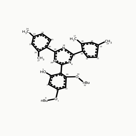 CCCCOc1cc(O)c(-c2nc(-c3ccc(C)cc3C)nc(-c3ccc(C)cc3C)n2)c(OCCCC)c1